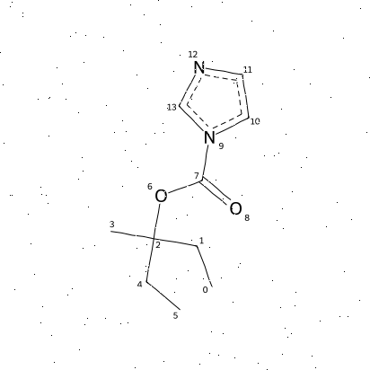 CCC(C)(CC)OC(=O)n1ccnc1